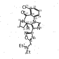 CCN(CC)Cc1nc(-c2ncn3c2[C@@H]2CCCN2C(=O)c2c(Cl)cccc2-3)no1